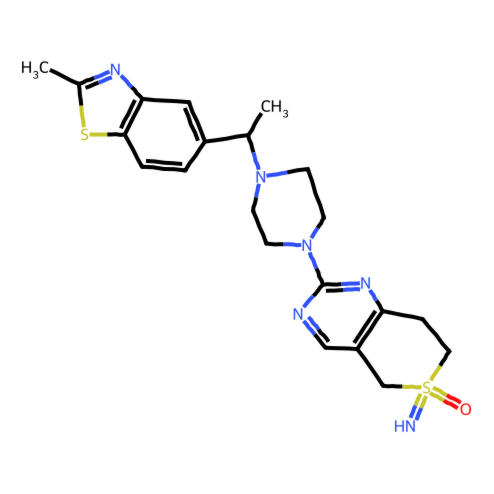 Cc1nc2cc(C(C)N3CCN(c4ncc5c(n4)CCS(=N)(=O)C5)CC3)ccc2s1